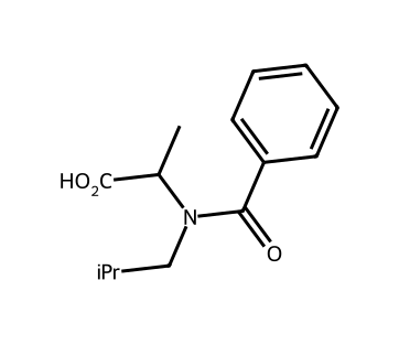 CC(C)CN(C(=O)c1ccccc1)C(C)C(=O)O